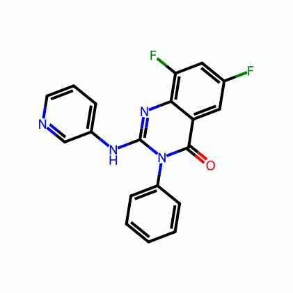 O=c1c2cc(F)cc(F)c2nc(Nc2cccnc2)n1-c1ccccc1